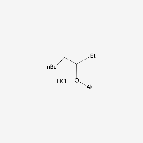 CCCCCC(CC)[O][Al].Cl